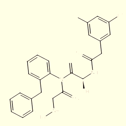 C[C@H](NC(=O)Cc1cc(F)cc(F)c1)C(=O)N(C(=O)CNC(C)(C)C)c1ccccc1Cc1ccccc1